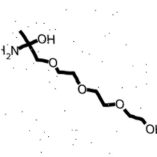 CC(N)(O)COCCOCCOCCO